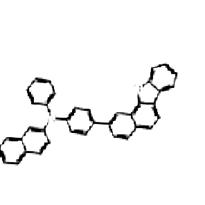 c1ccc(N(c2ccc(-c3ccc4ccc5c6ccccc6oc5c4c3)cc2)c2ccc3ccccc3c2)cc1